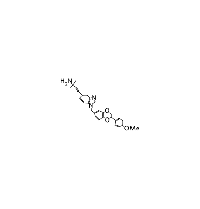 COc1ccc(C2COc3cc(Cn4cnc5cc(C#CC(C)(C)N)ccc54)ccc3O2)cc1